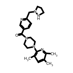 Cc1cc(C)c(N2CCN(C(=O)c3ccc(CN4CCCN4)nc3)CC2)nc1C